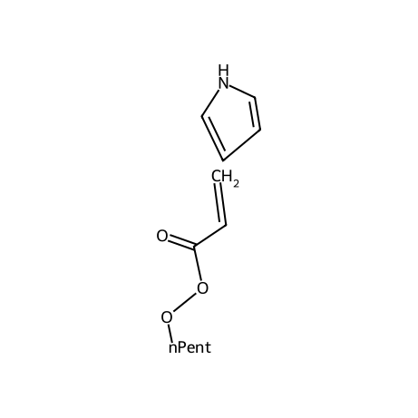 C=CC(=O)OOCCCCC.c1cc[nH]c1